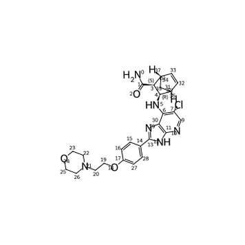 NC(=O)[C@@H]1[C@H](Nc2c(Cl)cnc3[nH]c(-c4ccc(OCCN5CCOCC5)cc4)nc23)[C@H]2C=C[C@@H]1C2